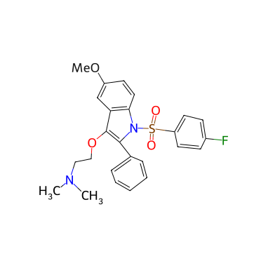 COc1ccc2c(c1)c(OCCN(C)C)c(-c1ccccc1)n2S(=O)(=O)c1ccc(F)cc1